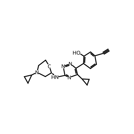 C#Cc1ccc(-c2nnc(N[C@@H]3CCCN(C4CC4)C3)nc2C2CC2)c(O)c1